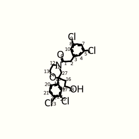 O=C(Cc1cc(Cl)cc(Cl)c1)N1CCOC(CCO)(c2ccc(Cl)c(Cl)c2)C1